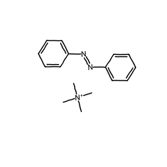 C[N+](C)(C)C.c1ccc(N=Nc2ccccc2)cc1